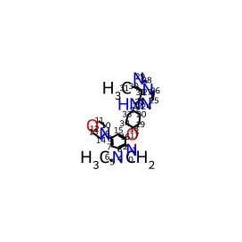 C=Nc1c(/N=C\C)cc(N2CCOCC2)cc1O[C@H]1CC[C@@H](Nc2nccn3cnc(C)c23)CC1